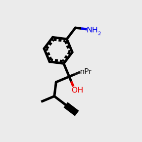 C#CC(C)CC(O)(CCC)c1cccc(CN)c1